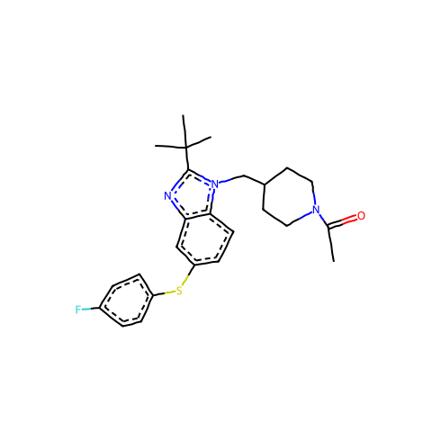 CC(=O)N1CCC(Cn2c(C(C)(C)C)nc3cc(Sc4ccc(F)cc4)ccc32)CC1